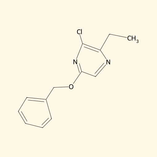 CCc1ncc(OCc2ccccc2)nc1Cl